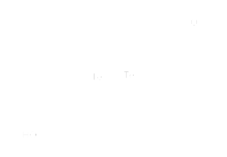 OCCC[Te][Te]CCCO